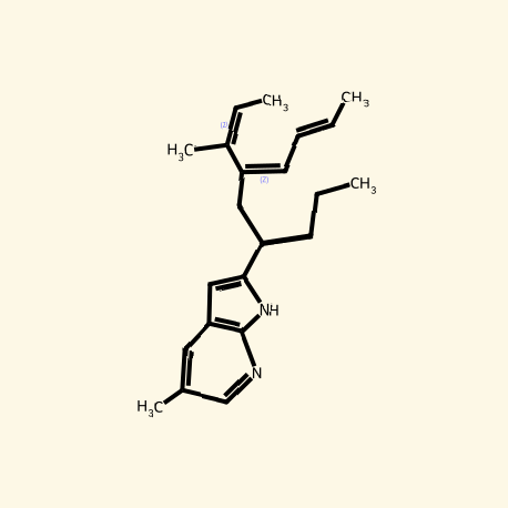 CC=C/C=C(CC(CCC)c1cc2cc(C)cnc2[nH]1)\C(C)=C/C